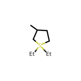 CCS1(CC)CCC(C)C1